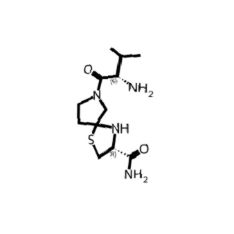 CC(C)[C@H](N)C(=O)N1CCC2(C1)N[C@H](C(N)=O)CS2